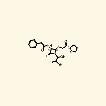 O=C(Cc1ccccc1)N[C@@H]1C(=O)N(C(O)C(=O)O)[C@@H]1SCC(=O)[C@@H]1CCCO1